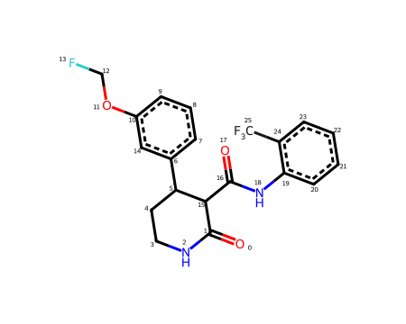 O=C1NCCC(c2cccc(OCF)c2)C1C(=O)Nc1ccccc1C(F)(F)F